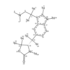 [2H]c1c(C([2H])([2H])CN(C)C)c2cc(C([2H])([2H])[C@@H]3N([2H])C(=O)OC3([2H])[2H])ccc2n1[2H]